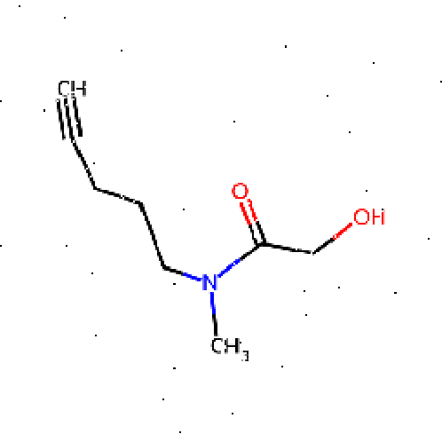 C#CCCCN(C)C(=O)CO